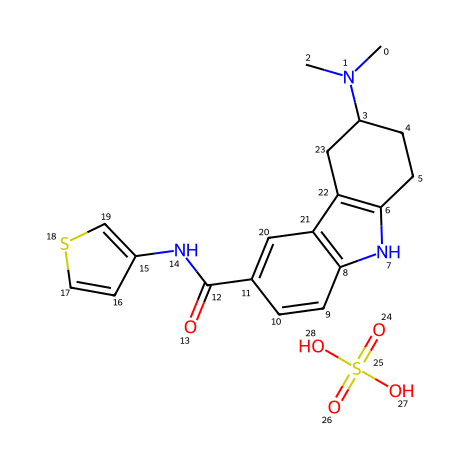 CN(C)C1CCc2[nH]c3ccc(C(=O)Nc4ccsc4)cc3c2C1.O=S(=O)(O)O